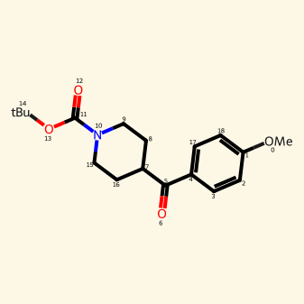 COc1ccc(C(=O)C2CCN(C(=O)OC(C)(C)C)CC2)cc1